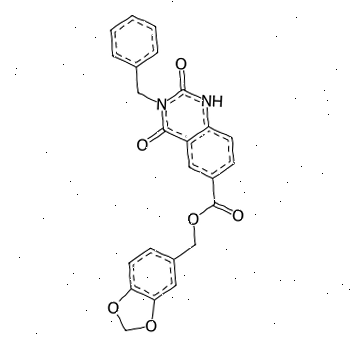 O=C(OCc1ccc2c(c1)OCO2)c1ccc2[nH]c(=O)n(Cc3ccccc3)c(=O)c2c1